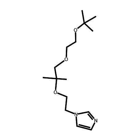 CC(C)(C)OCCOCC(C)(C)OCCn1ccnc1